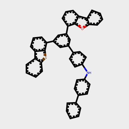 c1ccc(-c2ccc(Nc3ccc(-c4cc(-c5cccc6c5oc5ccccc56)cc(-c5cccc6c5sc5ccccc56)c4)cc3)cc2)cc1